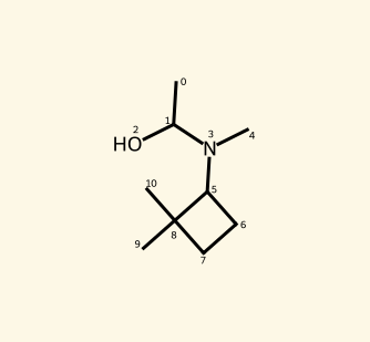 CC(O)N(C)C1CCC1(C)C